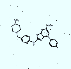 CNc1cc(-c2ccc(F)cc2)c2nc(Nc3ccc(CN4CCN(C)CC4)cn3)sc2n1